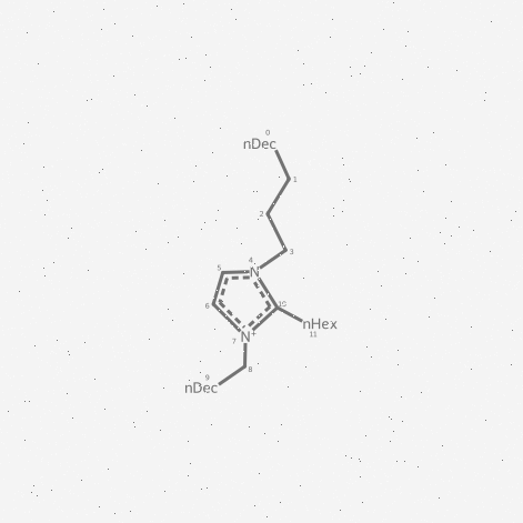 CCCCCCCCCCCCCn1cc[n+](CCCCCCCCCCC)c1CCCCCC